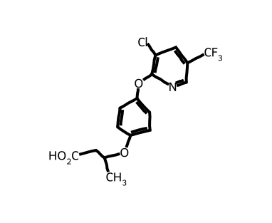 CC(CC(=O)O)Oc1ccc(Oc2ncc(C(F)(F)F)cc2Cl)cc1